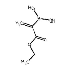 C=C(B(O)O)C(=O)OCC